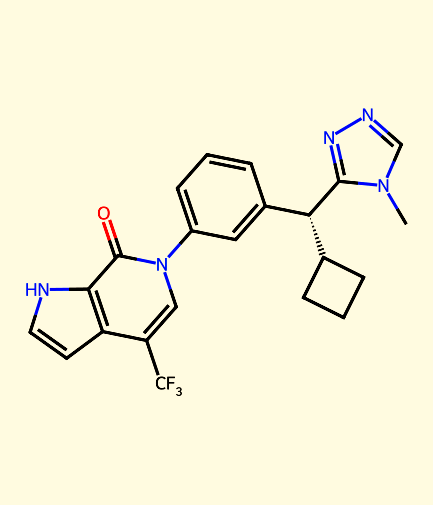 Cn1cnnc1[C@@H](c1cccc(-n2cc(C(F)(F)F)c3cc[nH]c3c2=O)c1)C1CCC1